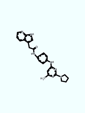 Cc1cc(Nc2ccc(NC(=O)Cc3c[nH]c4ncccc34)cc2)nc(N2CCCC2)n1